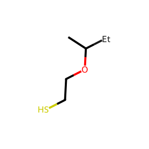 [CH2]CC(C)OCCS